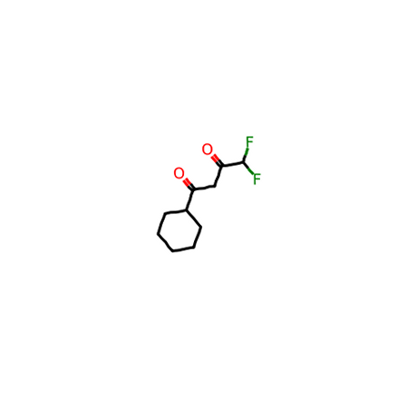 O=C(CC(=O)C1CCCCC1)C(F)F